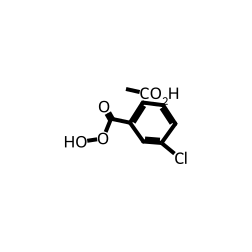 CC(=O)O.O=C(OO)c1cccc(Cl)c1